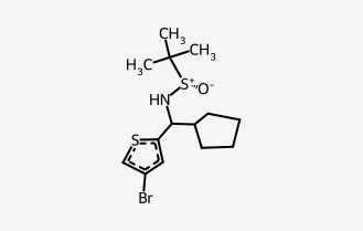 CC(C)(C)[S@+]([O-])NC(c1cc(Br)cs1)C1CCCC1